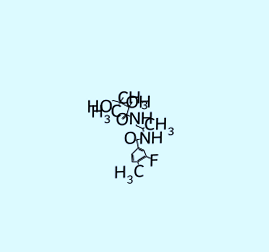 Cc1ccc(C(=O)NC(C)CNC(=O)C(O)C(C)(C)CO)cc1F